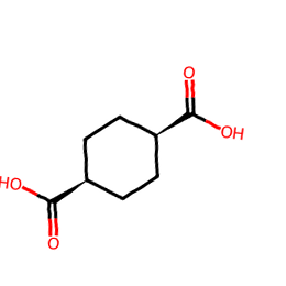 O=C(O)[C@H]1CC[C@@H](C(=O)O)CC1